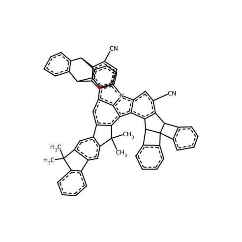 CC1(C)c2ccccc2-c2cc3c(cc21)-c1cc2c4c5c(c(C#N)cc4n4c6cc(C#N)c7c(c6c(c1C3(C)C)c24)C1c2ccccc2C12c1ccccc1C72)C1c2ccccc2C5c2ccccc21